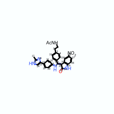 CC(=O)NCCc1ccc(/C(Nc2ccc(-c3c[nH]c(C)n3)cc2)=C2/C(=O)Nc3ccc([N+](=O)[O-])cc32)cc1